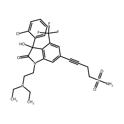 CCN(CC)CCN1C(=O)C(O)(c2ccccc2Cl)c2c1cc(C#CCCS(N)(=O)=O)cc2C(F)(F)F